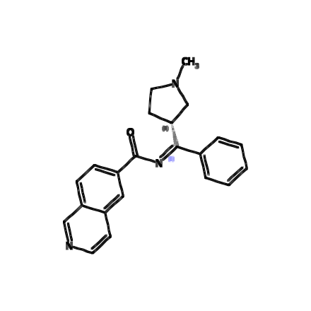 CN1CC[C@@H](/C(=N\C(=O)c2ccc3cnccc3c2)c2ccccc2)C1